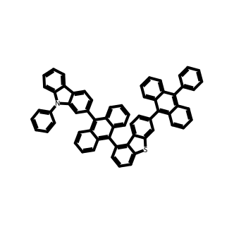 c1ccc(-c2c3ccccc3c(-c3ccc4c(c3)sc3cccc(-c5c6ccccc6c(-c6ccc7c8ccccc8n(-c8ccccc8)c7c6)c6ccccc56)c34)c3ccccc23)cc1